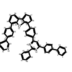 c1ccc(-c2ccc(-c3cc(-c4ccc(-c5cccc6c5oc5c(-c7ccc(-c8cccnc8)cc7)cccc56)cc4)nc(-c4ccccc4)n3)cc2)cc1